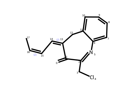 C=C1C(CCl)=Nc2ccccc2C/C1=C/C=C\C